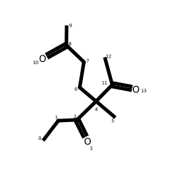 CCC(=O)C(C)(CCC(C)=O)C(C)=O